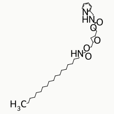 CCCCCCCCCCCCCCCCCCNC(=O)OCC1CC(COC(=O)NCc2ccccn2)O1